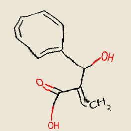 C=C(C(=O)O)C(O)c1ccccc1